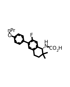 CCCOc1ccc(-c2cc3c(cc2F)[C@H](NC(=O)O)C(C)(C)CC3)cc1